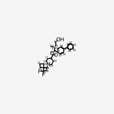 CN(CCO)C(=O)C1(OCC2CCN(CC3(C(F)(F)F)CCC3)CC2)C=CC(c2ccccc2)=CC1